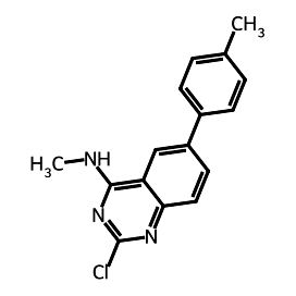 CNc1nc(Cl)nc2ccc(-c3ccc(C)cc3)cc12